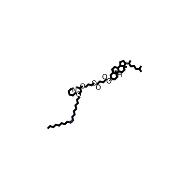 CCCCCCCC/C=C\CCCCCCCCOCC(CN1CCCCC1)OCCCOC(=O)CCC(=O)O[C@H]1CCC2(C)C(=CCC3C4CC[C@H](C(C)CCCC(C)C)C4(C)CC[C@@H]32)C1